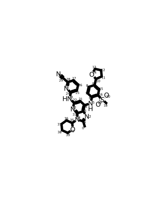 Cc1nc2c(Nc3ccc(C4CCCO4)cc3S(C)(=O)=O)cc(Nc3cccc(C#N)n3)nc2n1C1CCCCO1